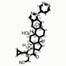 C[C@]12Cc3cnn(-c4ccnnc4)c3C=C1CCC1[C@@H]2[C@@H](O)C[C@@]2(C)[C@H]1CC[C@]2(OC(=O)C1CC1)C(=O)OCC#N